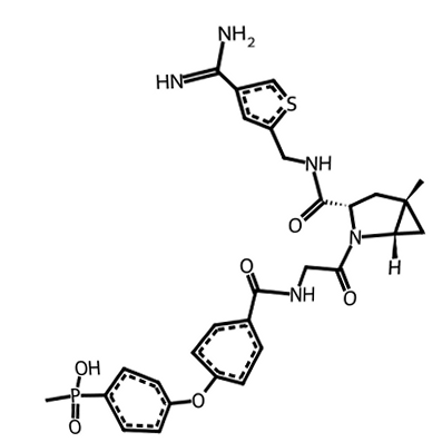 C[C@@]12C[C@@H]1N(C(=O)CNC(=O)c1ccc(Oc3ccc(P(C)(=O)O)cc3)cc1)[C@H](C(=O)NCc1cc(C(=N)N)cs1)C2